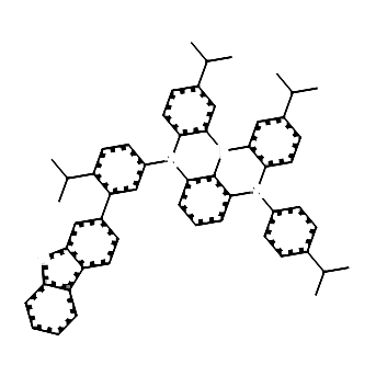 CC(C)c1ccc(N2c3ccc(C(C)C)cc3B3c4cc(C(C)C)ccc4N(c4ccc(C(C)C)c(-c5ccc6c(c5)oc5ccccc56)c4)c4cccc2c43)cc1